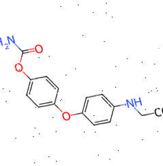 CCOC(=O)CNc1ccc(Oc2ccc(OC(N)=O)cc2)cc1